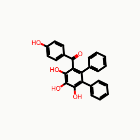 O=C(c1ccc(O)cc1)c1c(O)c(O)c(O)c(-c2ccccc2)c1-c1ccccc1